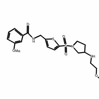 CCCOCCNC1CCN(S(=O)(=O)c2ccc(CNC(=O)c3cccc(OC)c3)s2)C1